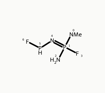 CNP(N)(F)=NPF